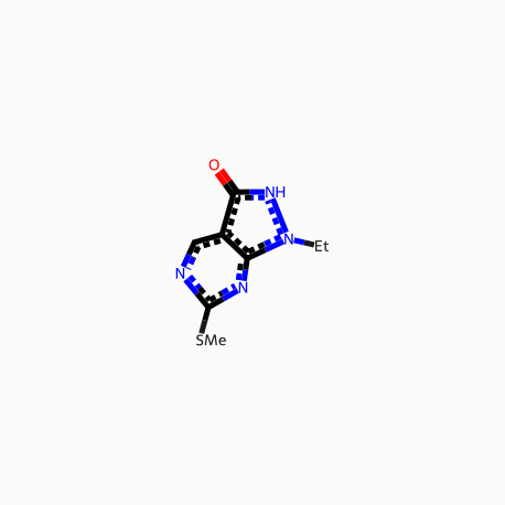 CCn1[nH]c(=O)c2cnc(SC)nc21